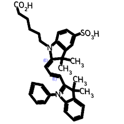 CC1(C)C(/C=C/C=C2/N(CCCCCC(=O)O)c3ccc(S(=O)(=O)O)cc3C2(C)C)=[N+](c2ccccc2)c2ccccc21